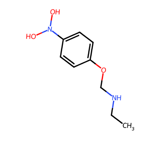 CCNCOc1ccc(N(O)O)cc1